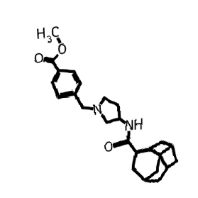 COC(=O)c1ccc(CN2CCC(NC(=O)C34CC5CC6CC(C3)C6(C5)C4)C2)cc1